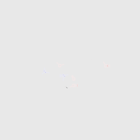 CCCOc1ccc(-c2ccc(CO)s2)cc1C(=O)N[C@@H](CO)Cc1cn(C)c2ccccc12